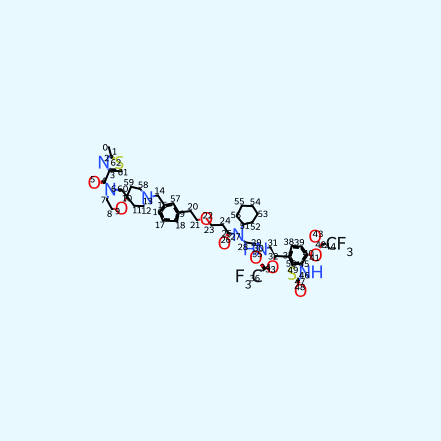 Cc1nc(C(=O)N2CCOC3(CCN(Cc4cccc(CCOCCC(=O)N(CCNC[C@H](OC(=O)C(F)(F)F)c5ccc(OC(=O)C(F)(F)F)c6[nH]c(=O)sc56)C5CCCCC5)c4)CC3)C2)cs1